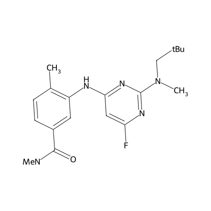 CNC(=O)c1ccc(C)c(Nc2cc(F)nc(N(C)CC(C)(C)C)n2)c1